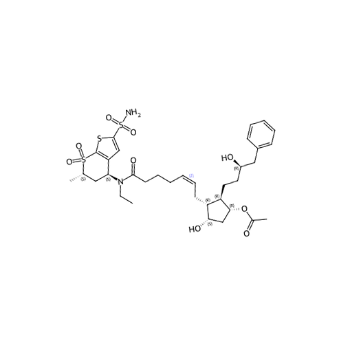 CCN(C(=O)CCC/C=C\C[C@@H]1[C@@H](CC[C@@H](O)Cc2ccccc2)[C@H](OC(C)=O)C[C@@H]1O)[C@H]1C[C@H](C)S(=O)(=O)c2sc(S(N)(=O)=O)cc21